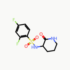 O=C1NCCCC1NS(=O)(=O)c1ccc(F)cc1F